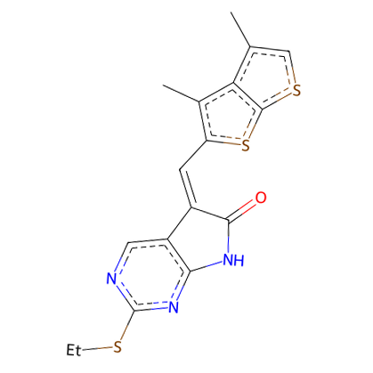 CCSc1ncc2c(n1)NC(=O)C2=Cc1sc2scc(C)c2c1C